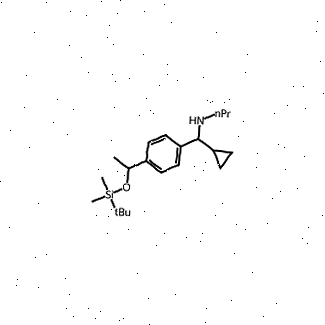 CCCNC(c1ccc(C(C)O[Si](C)(C)C(C)(C)C)cc1)C1CC1